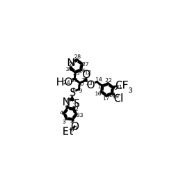 CCOc1ccc2nc(SCC(C(=O)OCc3ccc(Cl)c(C(F)(F)F)c3)C(O)c3cccnc3)sc2c1